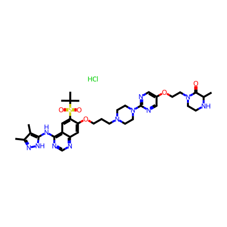 Cc1n[nH]c(Nc2ncnc3cc(OCCCN4CCN(c5ncc(OCCN6CCNC(C)C6=O)cn5)CC4)c(S(=O)(=O)C(C)(C)C)cc23)c1C.Cl